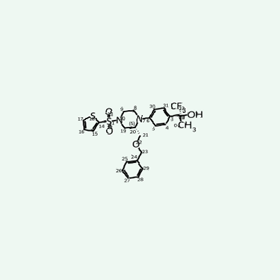 C[C@](O)(c1ccc(N2CCN(S(=O)(=O)c3cccs3)C[C@H]2COCc2ccccc2)cc1)C(F)(F)F